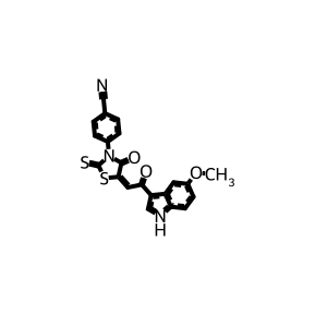 COc1ccc2[nH]cc(C(=O)C=C3SC(=S)N(c4ccc(C#N)cc4)C3=O)c2c1